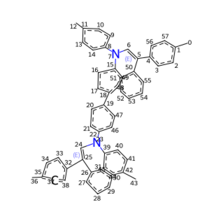 Cc1ccc(/C(=C/N(c2ccc(C)cc2)c2ccc(-c3ccc(N(/C=C(\c4ccccc4)c4ccc(C)cc4)c4ccc(C)cc4)cc3)cc2)c2ccccc2)cc1